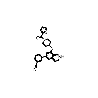 N#Cc1cccc(-c2cc(NC3CCN(C(=O)c4cccs4)CC3)c3c(c2)=CCNC=3)c1